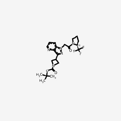 CC(C)(C)OC(=O)N1CC(c2nn(CC(=O)N3CCC[C@H]3C(F)(F)F)c3cccnc23)C1